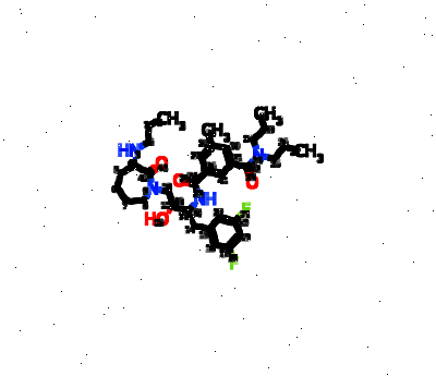 CCCN[C@H]1CCCCN(C[C@@H](O)[C@H](Cc2cc(F)cc(F)c2)NC(=O)c2cc(C)cc(C(=O)N(CCC)CCC)c2)C1=O